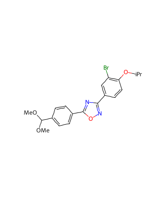 COC(OC)c1ccc(-c2nc(-c3ccc(OC(C)C)c(Br)c3)no2)cc1